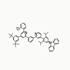 COc1ccccc1-c1cc(-c2cc(C(C)(C)C)cc(C(C)(C)C)c2)cc(-c2cccc(-c3cc(-c4c(C(C)C)cc(-n5c6ccccc6c6ccccc65)cc4C(C)C)ccn3)c2)n1